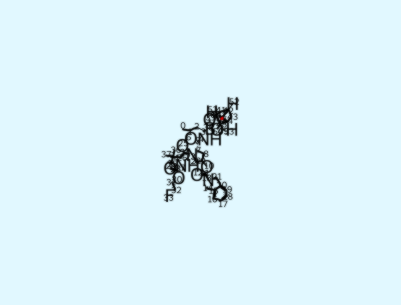 CCC[C@H](NC(=O)[C@@H]1C[C@@H](OC(=O)N2Cc3ccccc3C2)CN1C(=O)[C@@H](NC(=O)OCCF)C(C)(C)C)B1O[C@@H]2C[C@@H]3C[C@@H](C3(C)C)[C@]2(C)O1